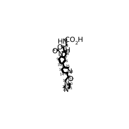 O=C(O)NC[C@@H]1OC(=O)N2c3ccc(-c4ccc(C(=O)Cn5ccnc5)nc4)cc3C[C@@H]12